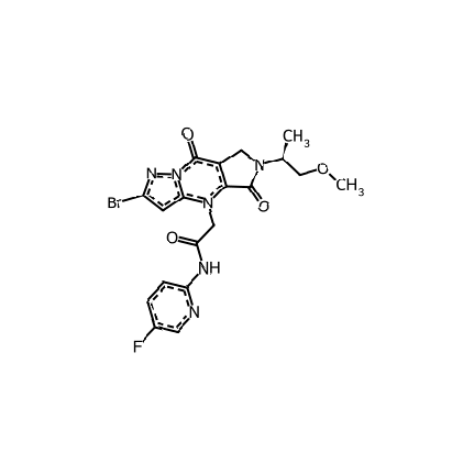 COC[C@H](C)N1Cc2c(n(CC(=O)Nc3ccc(F)cn3)c3cc(Br)nn3c2=O)C1=O